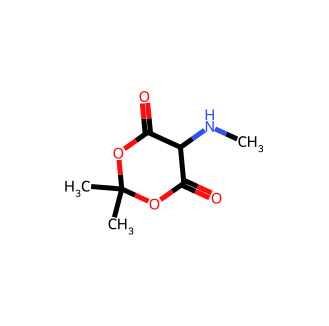 CNC1C(=O)OC(C)(C)OC1=O